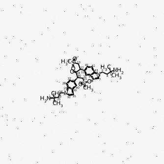 CC(C)(N)CCn1ccc2cc(C(CS(C)(=O)=O)C(=O)C(CS(C)(=O)=O)c3ccc4c(ccn4CCC(C)(C)N)c3)ccc21